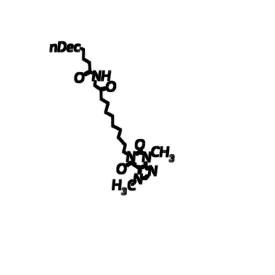 CCCCCCCCCCCCCC(=O)NCC(=O)CCCCCCCCCn1c(=O)c2c(ncn2C)n(C)c1=O